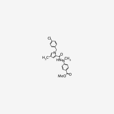 COC(=O)c1ccc(N(C)NC(=O)c2cc(C)cn2Cc2ccc(Cl)cc2)cc1